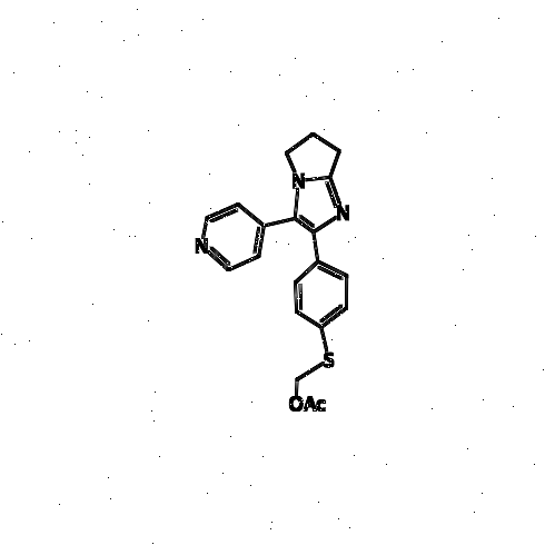 CC(=O)OCSc1ccc(-c2nc3n(c2-c2ccncc2)CCC3)cc1